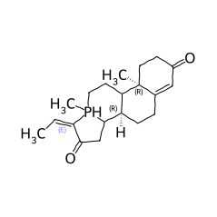 C/C=C1\C(=O)CC2[C@@H]3CCC4=CC(=O)CC[C@]4(C)C3CC[PH]12C